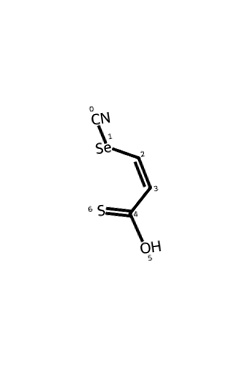 N#C[Se]/C=C\C(O)=S